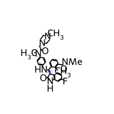 CNC(=O)c1cccc(/C(Nc2ccc(N(C)C(=O)CN3CCN(C)CC3)cc2)=C2/C(=O)Nc3cc(F)ccc32)c1C